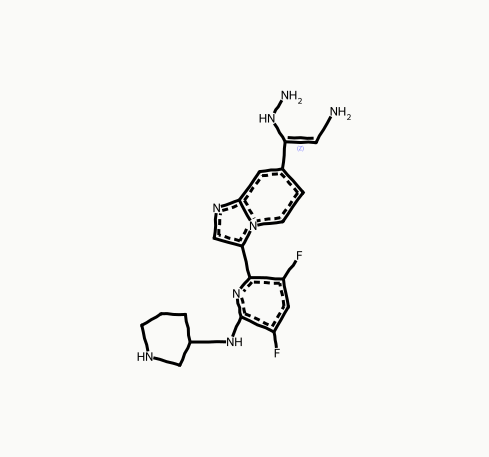 N/C=C(\NN)c1ccn2c(-c3nc(NC4CCCNC4)c(F)cc3F)cnc2c1